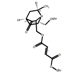 COC[C@]1(COC(=O)/C=C/C(=O)OC(C)(C)C)C(=O)[C@H]2CCN1[C@H](C)C2